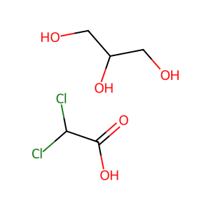 O=C(O)C(Cl)Cl.OCC(O)CO